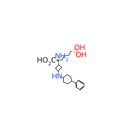 NC(CCCCB(O)O)(C(=O)O)[C@H]1C[C@@H](NC2CCC(c3ccccc3)CC2)C1